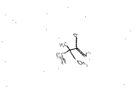 CC(C)(C)C(=[N+])[O-]